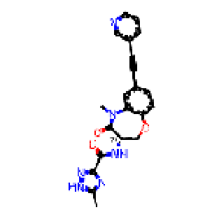 Cc1nc(C(=O)N[C@H]2COc3ccc(C#Cc4cccnc4)cc3N(C)C2=O)n[nH]1